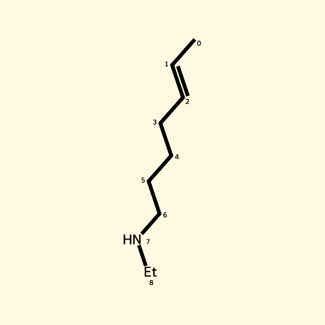 CC=CCCCCNCC